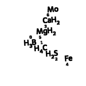 B.C.S.[CaH2].[Fe].[MgH2].[Mo]